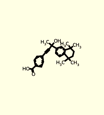 CC(O)(C#Cc1ccc(C(=O)O)cc1)c1ccc2c(c1)C(C)(C)CCC2(C)C